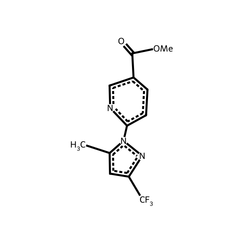 COC(=O)c1ccc(-n2nc(C(F)(F)F)cc2C)nc1